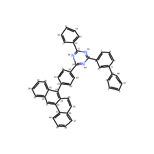 c1ccc(-c2cccc(-c3nc(-c4ccccc4)nc(-c4ccc(-c5c6ccccc6cc6c5ccc5ccccc56)cc4)n3)c2)cc1